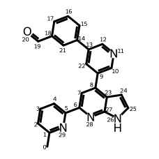 Cc1cccc(-c2cc(-c3cncc(-c4cccc(C=O)c4)c3)c3cc[nH]c3n2)n1